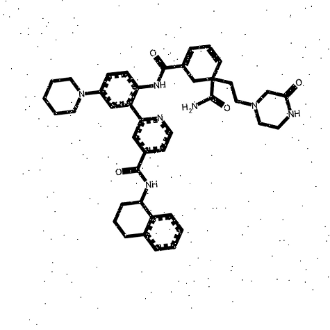 NC(=O)C1(CCN2CCNC(=O)C2)C=CC=C(C(=O)Nc2ccc(N3CCCCC3)cc2-c2cc(C(=O)NC3CCCc4ccccc43)ccn2)C1